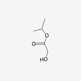 CC(C)OC(=O)CO